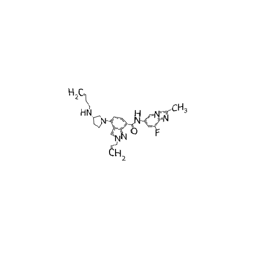 C=CCCN[C@H]1CCN(c2ccc(C(=O)Nc3cc(F)c4nc(C)cn4c3)c3nn(CC=C)cc23)C1